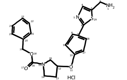 Cl.NCc1cnc(-c2ccc(OC3CCN(C(=O)OCc4ccccc4)C3)cc2)s1